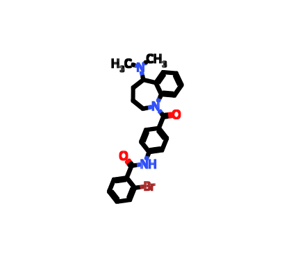 CN(C)C1CCCN(C(=O)c2ccc(NC(=O)c3ccccc3Br)cc2)c2ccccc21